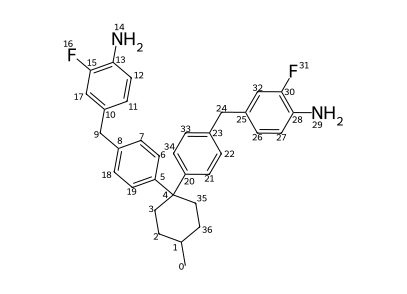 CC1CCC(c2ccc(Cc3ccc(N)c(F)c3)cc2)(c2ccc(Cc3ccc(N)c(F)c3)cc2)CC1